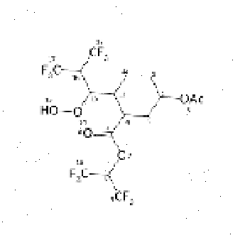 CC(=O)OC(C)CC(C(=O)OC(C(F)(F)F)C(F)(F)F)C(C)C(OO)C(C(F)(F)F)C(F)(F)F